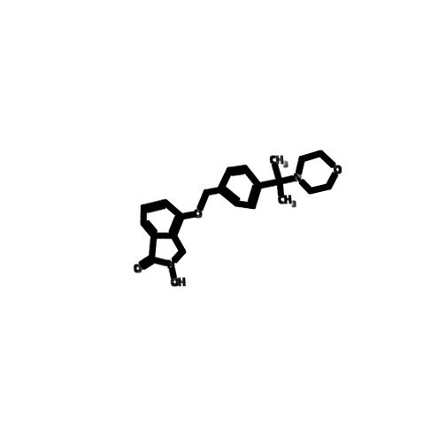 CC(C)(c1ccc(COc2cccc3c2CN(O)C3=O)cc1)N1CCOCC1